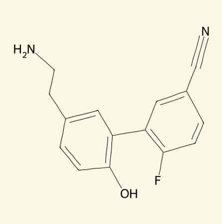 N#Cc1ccc(F)c(-c2cc(CCN)ccc2O)c1